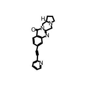 O=c1c2ccc(C#Cc3ccccn3)cc2nc2n1C[C@H]1CCCN1C2